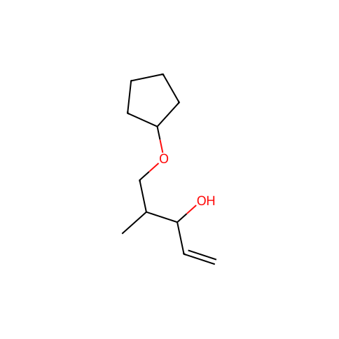 C=CC(O)C(C)COC1CCCC1